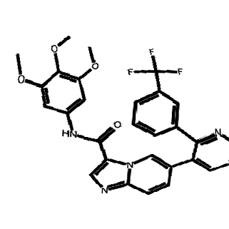 COc1cc(NC(=O)c2cnc3ccc(-c4cccnc4-c4cccc(C(F)(F)F)c4)cn23)cc(OC)c1OC